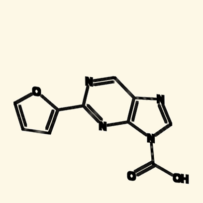 O=C(O)n1cnc2cnc(-c3ccco3)nc21